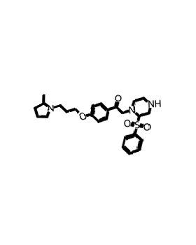 CC1CCCN1CCCOc1ccc(C(=O)CN2CCNCC2S(=O)(=O)c2ccccc2)cc1